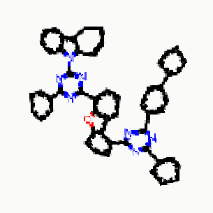 C1=Cc2c(c3ccccc3n2-c2nc(-c3ccccc3)nc(-c3cccc4c3oc3cccc(-c5nc(-c6ccccc6)nc(-c6ccc(-c7ccccc7)cc6)n5)c34)n2)CC1